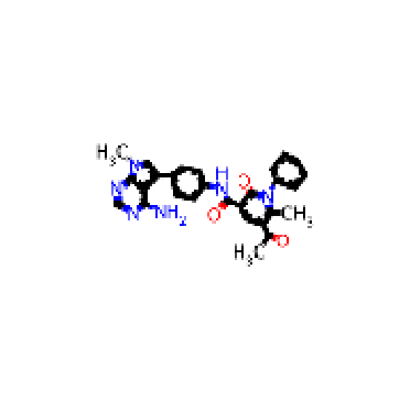 CC(=O)c1cc(C(=O)Nc2ccc(-c3cn(C)c4ncnc(N)c34)cc2)c(=O)n(-c2ccccc2)c1C